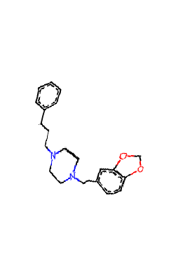 [CH](CCN1CCN(Cc2ccc3c(c2)OCO3)CC1)c1ccccc1